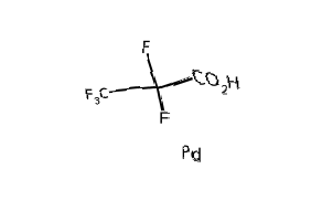 O=C(O)C(F)(F)C(F)(F)F.[Pd]